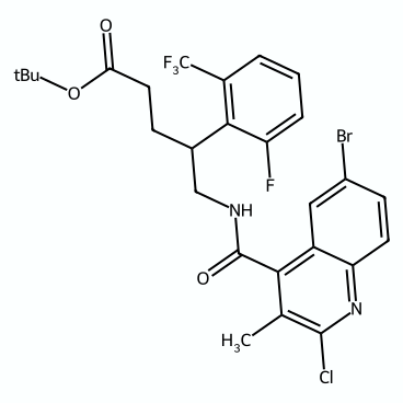 Cc1c(Cl)nc2ccc(Br)cc2c1C(=O)NCC(CCC(=O)OC(C)(C)C)c1c(F)cccc1C(F)(F)F